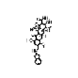 COc1c(CNC2Cc3ccccc3C2)cc(O)c2c1C[C@H]1C[C@H]3[C@H](N(C)C)C(O)=C(C(N)=O)C(=O)[C@@]3(O)C(O)=C1C2=O